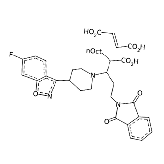 CCCCCCCCC(C(=O)O)C(CCN1C(=O)c2ccccc2C1=O)N1CCC(c2noc3cc(F)ccc23)CC1.O=C(O)C=CC(=O)O